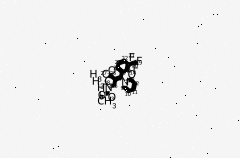 COC(=O)NCC1=C(n2ccccc2=O)c2cc(C(F)(F)F)ccc2OC1(C)C